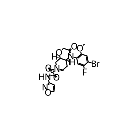 COc1cc(Br)c(F)cc1N1C(=O)CO[C@@H]2CN(S(=O)(=O)Nc3ccon3)CC[C@H]21